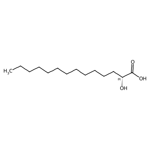 CCCCCCCCCCCC[C@@H](O)C(=O)O